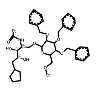 CCOCC1OC(OC[C@H](NC(=O)CC)[C@H](O)[C@H](O)CC2CCCC2)C(OCc2ccccc2)C(OCc2ccccc2)C1OCc1ccccc1